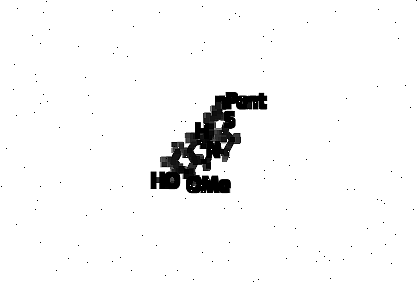 CCCCCc1cc2c(s1)CCN1Cc3c(ccc(O)c3OC)C[C@@H]21